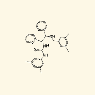 Cc1cc(C)cc(CN[C@H](c2ccccc2)[C@H](NC(=S)Nc2cc(C)cc(C)c2)c2ccccc2)c1